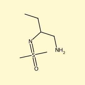 CCC(CN)N=S(C)(C)=O